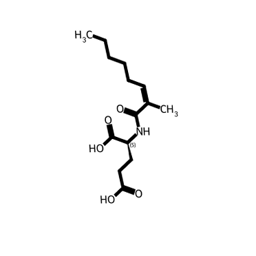 CCCCCC=C(C)C(=O)N[C@@H](CCC(=O)O)C(=O)O